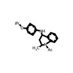 CC(=O)N1c2ccccc2C(Nc2ccc(OC(C)C)cc2)CC1C